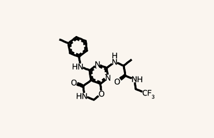 Cc1cccc(Nc2nc(NC(C)C(=O)NCC(F)(F)F)nc3c2C(=O)NCO3)c1